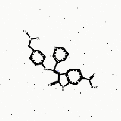 CCN(CC)Cc1ccc(N/C(=C2\C(=O)Nc3cc(C(=O)OC)ccc32)c2cccnc2)cc1